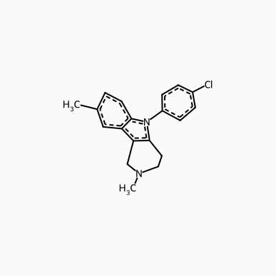 Cc1ccc2c(c1)c1c(n2-c2ccc(Cl)cc2)CCN(C)C1